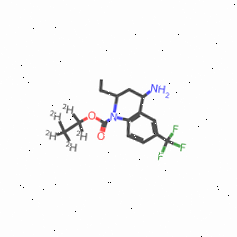 [2H]C([2H])([2H])C([2H])([2H])OC(=O)N1c2ccc(C(F)(F)F)cc2C(N)CC1CC